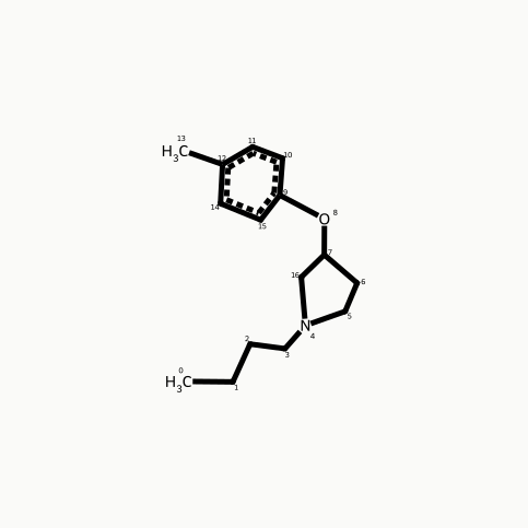 CCCCN1CCC(Oc2ccc(C)cc2)C1